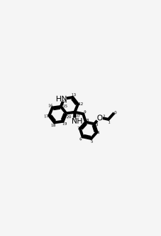 CCOc1ccccc1CC1(N)C=CNc2ccccc21